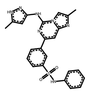 Cc1cn2c(Nc3cc(C)[nH]n3)nc(-c3cccc(S(=O)(=O)Nc4ccccc4)c3)cc2n1